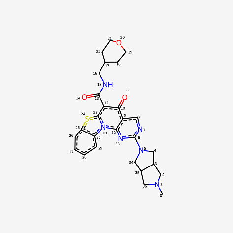 CN1CC2CN(c3ncc4c(=O)c(C(=O)NCC5CCOCC5)c5sc6ccccc6n5c4n3)CC2C1